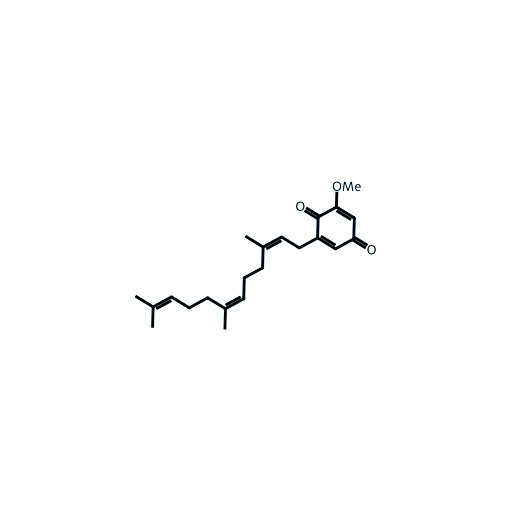 COC1=CC(=O)C=C(CC=C(C)CCC=C(C)CCC=C(C)C)C1=O